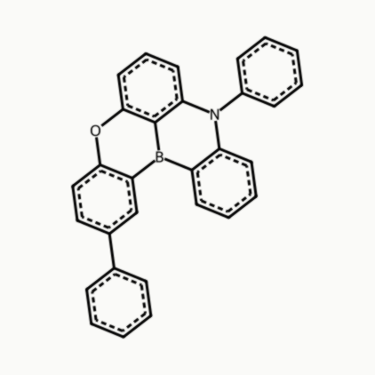 c1ccc(-c2ccc3c(c2)B2c4ccccc4N(c4ccccc4)c4cccc(c42)O3)cc1